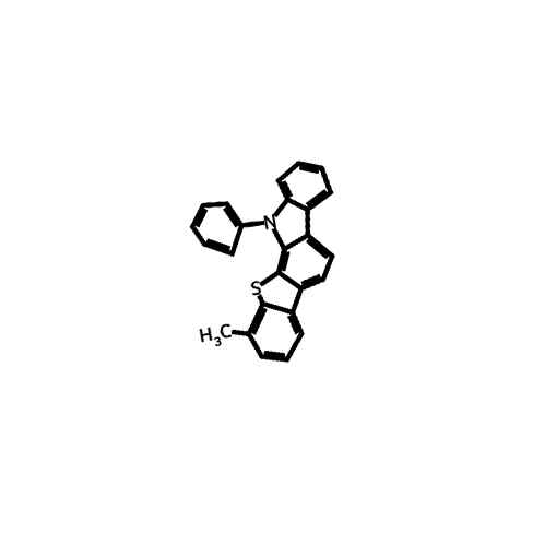 Cc1cccc2c1sc1c2ccc2c3ccccc3n(-c3ccccc3)c21